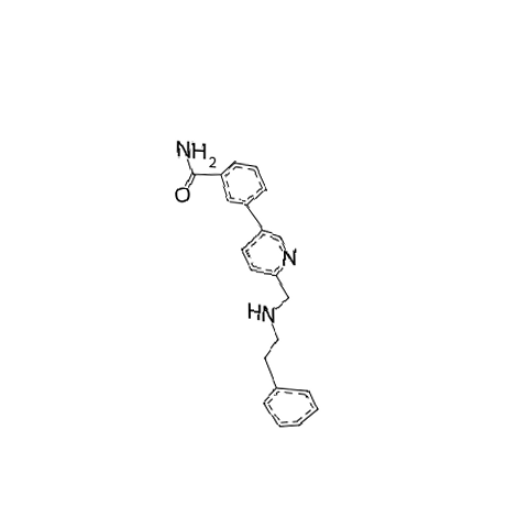 NC(=O)c1cccc(-c2ccc(CNCCc3ccccc3)nc2)c1